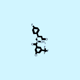 CN(C[C@@H](CC=O)c1ccc(F)cc1)C(=O)c1cc(Cl)cc(C(F)(F)F)c1